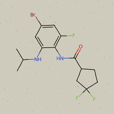 CC(C)Nc1cc(Br)cc(F)c1NC(=O)C1CCC(F)(F)C1